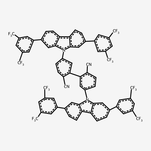 N#Cc1ccc(-n2c3cc(-c4cc(C(F)(F)F)cc(C(F)(F)F)c4)ccc3c3ccc(-c4cc(C(F)(F)F)cc(C(F)(F)F)c4)cc32)cc1-c1cc(-n2c3cc(-c4cc(C(F)(F)F)cc(C(F)(F)F)c4)ccc3c3ccc(-c4cc(C(F)(F)F)cc(C(F)(F)F)c4)cc32)ccc1C#N